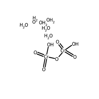 O.O.O.O.O.O.[O]=[Cr](=[O])([OH])[O][Cr](=[O])(=[O])[OH]